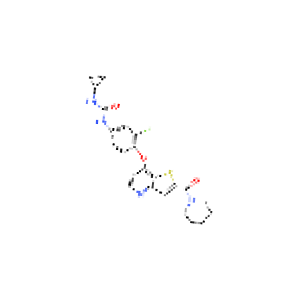 O=C(Nc1ccc(Oc2ccnc3cc(C(=O)N4CCCCC4)sc23)c(F)c1)NC1CC1